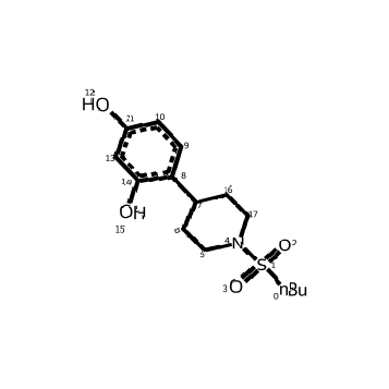 CCCCS(=O)(=O)N1CCC(c2ccc(O)cc2O)CC1